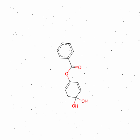 O=C(OC1=CCC(O)(O)C=C1)c1ccccc1